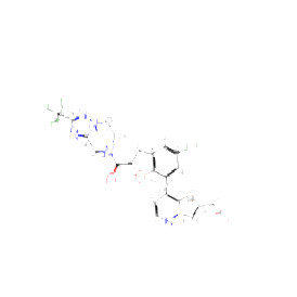 O=C(C1Cc2cc(Cl)cc(-c3ccnc4cc(CO)sc34)c2O1)N1CCn2nc(C(F)(F)F)nc2C1